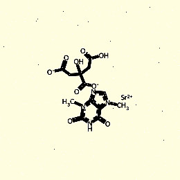 Cn1cnc2c1c(=O)[nH]c(=O)n2C.O=C([O-])CC(O)(CC(=O)O)C(=O)[O-].[Sr+2]